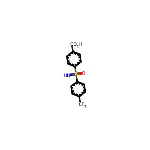 N=S(=O)(c1ccc(C(=O)O)cc1)c1ccc(C(F)(F)F)cc1